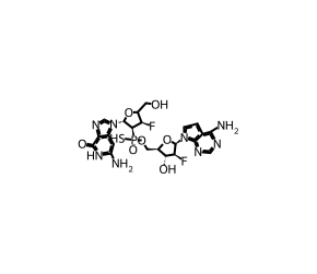 Nc1cc2c(ncn2[C@@H]2OC(CO)[C@@H](F)[C@H]2P(=O)(S)OC[C@H]2O[C@@H](n3ccc4c(N)ncnc43)[C@@H](F)[C@@H]2O)c(=O)[nH]1